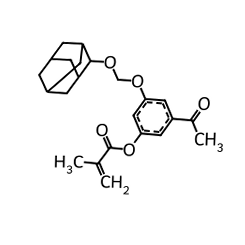 C=C(C)C(=O)Oc1cc(OCOC2C3CC4CC(C3)CC2C4)cc(C(C)=O)c1